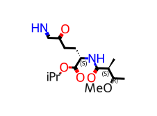 CO[C@H](C)[C@H](C)C(=O)N[C@@H](CCC(=O)C=N)C(=O)OC(C)C